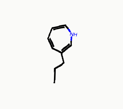 CCCC1=CNC=CC=C1